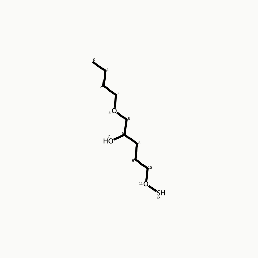 CCCCOCC(O)CCCOS